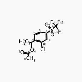 CC(=O)OC(C)c1ccc(S(=O)(=O)C(F)(F)F)cc1Cl